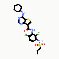 CCCS(=O)(=O)Nc1ccc(Cl)c(NC(=O)c2csc3c(NC4CCCCC4)ncnc23)c1Cl